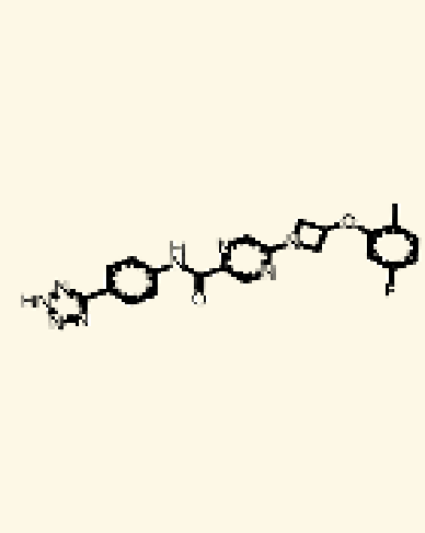 Cc1ccc(F)cc1OC1CN(c2cnc(C(=O)Nc3ccc(-c4nn[nH]n4)cc3)cn2)C1